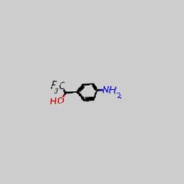 Nc1ccc(C(O)C(F)(F)F)cc1